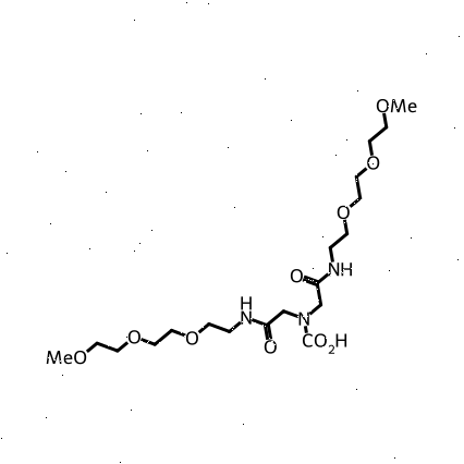 COCCOCCOCCNC(=O)CN(CC(=O)NCCOCCOCCOC)C(=O)O